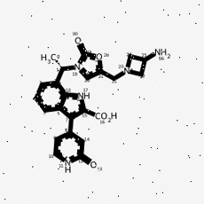 C[C@@H](c1cccc2c(-c3cc[nH]c(=O)c3)c(C(=O)O)[nH]c12)n1cc(CN2CC(N)C2)oc1=O